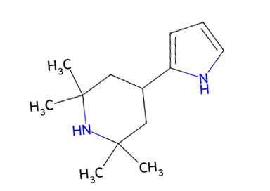 CC1(C)CC(c2ccc[nH]2)CC(C)(C)N1